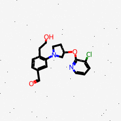 O=Cc1ccc(CCO)c(N2CCC(Oc3ncccc3Cl)C2)c1